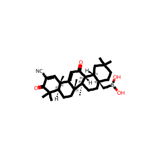 CC1(C)CC[C@]2(CB(O)O)CC[C@]3(C)[C@H](C(=O)C=C4[C@@]5(C)C=C(C#N)C(=O)C(C)(C)[C@@H]5CC[C@]43C)[C@@H]2C1